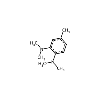 Cc1ccc(N(C)C)c(N(C)C)c1